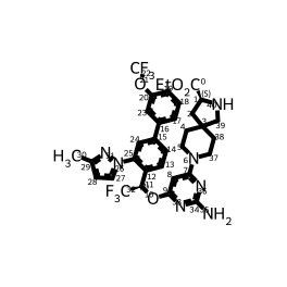 CCOC(=O)[C@@H]1CC2(CCN(c3cc(O[C@H](c4ccc(-c5cccc(OC(F)(F)F)c5)cc4-n4ccc(C)n4)C(F)(F)F)nc(N)n3)CC2)CN1